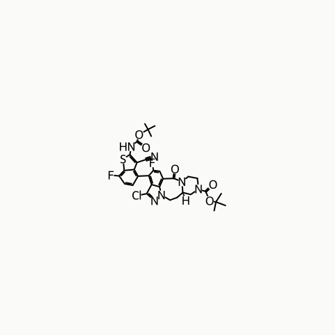 CC(C)(C)OC(=O)Nc1sc2c(F)ccc(-c3c(F)cc4c5c3c(Cl)nn5CC[C@H]3CN(C(=O)OC(C)(C)C)CCN3C4=O)c2c1C#N